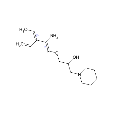 C=CC(=C\C)/C(N)=N/OCC(O)CN1CCCCC1